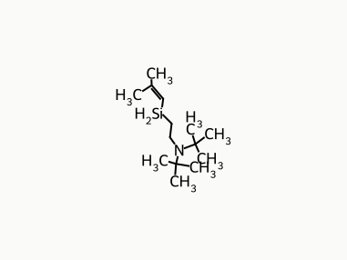 CC(C)=C[SiH2]CCN(C(C)(C)C)C(C)(C)C